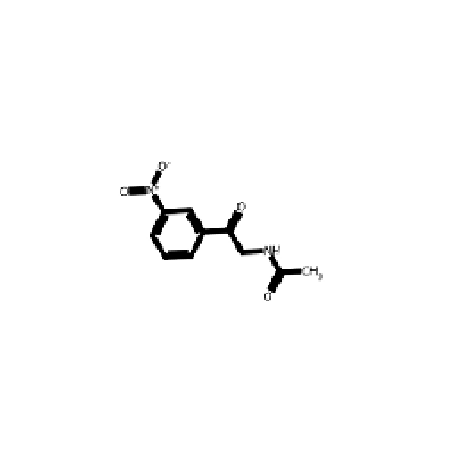 CC(=O)NCC(=O)c1cccc([N+](=O)[O-])c1